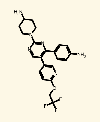 Nc1ccc(-c2nc(N3CCC(N)CC3)ncc2-c2ccc(OCC(F)(F)F)nc2)cc1